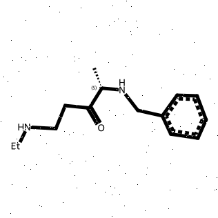 CCNCCC(=O)[C@H](C)NCc1ccccc1